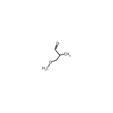 COCC(C)C=O